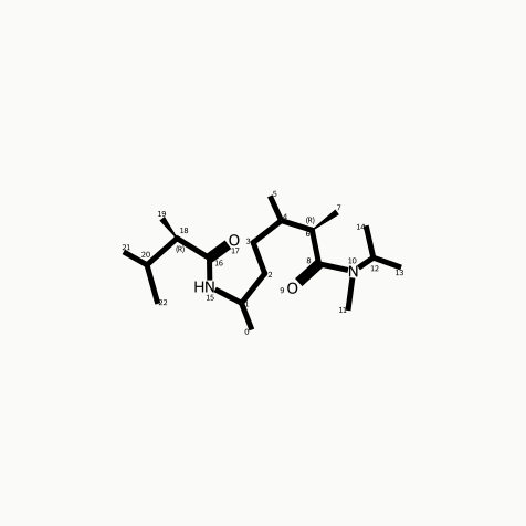 CC(CCC(C)[C@@H](C)C(=O)N(C)C(C)C)NC(=O)[C@H](C)C(C)C